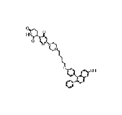 O=C1CCC(n2cnc(N3CCN(CCCCCOc4ccc(-c5c(-c6ccccc6)ccc6cc(O)ccc56)cc4)CC3)cc2=O)C(=O)N1